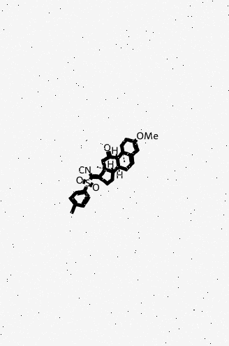 [C-]#[N+]C(=C1CC[C@H]2[C@@H]3CC=C4C=C(OC)CC[C@]4(C)[C@H]3C(=O)C[C@]12C)S(=O)(=O)c1ccc(C)cc1